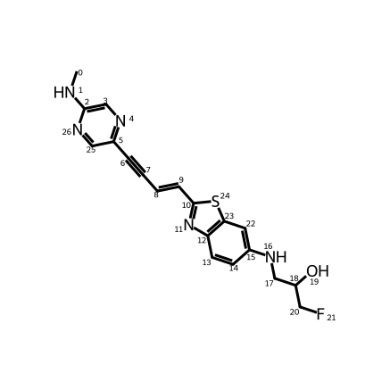 CNc1cnc(C#C/C=C/c2nc3ccc(NCC(O)CF)cc3s2)cn1